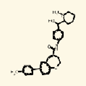 Cc1ccc(-c2ccc3c(c2)C=C(C(=O)Nc2ccc(C(O)C4CCCCN4C)cc2)CCO3)cc1